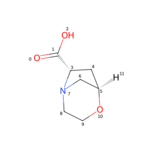 O=C(O)[C@@H]1C[C@@H]2CN1CCO2